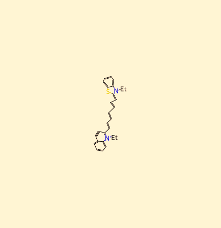 CCN1/C(=C/C=C/C=C/C=C/c2c#cc3ccccc3[n+]2CC)Sc2ccccc21